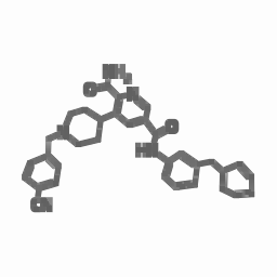 N#Cc1ccc(CN2CCC(c3cc(C(=O)Nc4cccc(Cc5ccccc5)c4)cnc3C(N)=O)CC2)cc1